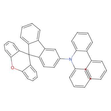 c1ccc(-c2ccccc2N(c2ccccc2)c2ccc3c(c2)-c2ccccc2C32c3ccccc3Oc3ccccc32)cc1